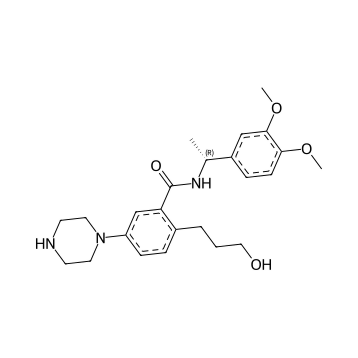 COc1ccc([C@@H](C)NC(=O)c2cc(N3CCNCC3)ccc2CCCO)cc1OC